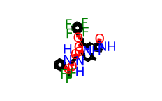 CC(C)CC(NC(=O)C(=O)Nc1ccccc1OC(F)(F)F)C(=O)NC(C[C@@H]1CCNC1=O)C(=O)COc1c(F)c(F)cc(F)c1F